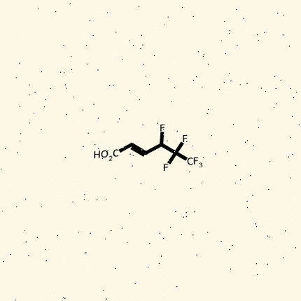 O=C(O)C=CC(F)C(F)(F)C(F)(F)F